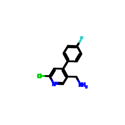 NCc1cnc(Cl)cc1-c1ccc(F)cc1